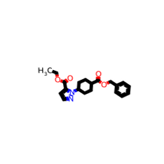 CCOC(=O)c1ccnn1C1CCC(C(=O)OCc2ccccc2)CC1